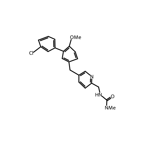 CNC(=O)NCc1ccc(Cc2ccc(OC)c(-c3cccc(Cl)c3)c2)cn1